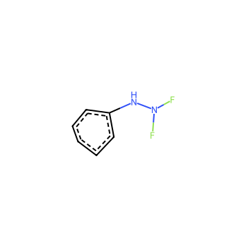 FN(F)Nc1ccccc1